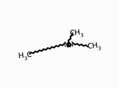 CCCCCCCCCCCCCCCCCCN1C=CN(CCCCCCCCC)C1CCCCC